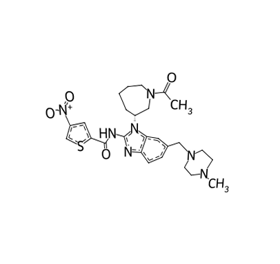 CC(=O)N1CCCC[C@@H](n2c(NC(=O)c3cc([N+](=O)[O-])cs3)nc3ccc(CN4CCN(C)CC4)cc32)C1